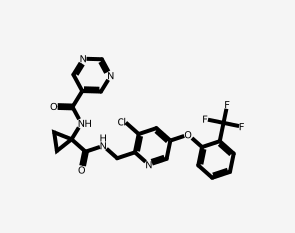 O=C(NC1(C(=O)NCc2ncc(Oc3ccccc3C(F)(F)F)cc2Cl)CC1)c1cncnc1